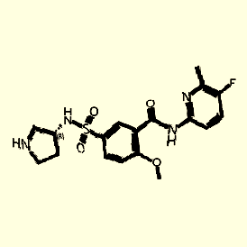 COc1ccc(S(=O)(=O)N[C@@H]2CCNC2)cc1C(=O)Nc1ccc(F)c(C)n1